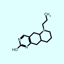 CCCN1CCCC2Cc3nc(O)ncc3CC21